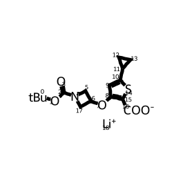 CC(C)(C)OC(=O)N1CC(Oc2cc(C3CC3)sc2C(=O)[O-])C1.[Li+]